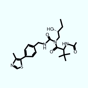 CC[C@@H](O)CN(C(=O)NCc1ccc(-c2scnc2C)cc1)C(=O)C(NC(C)=O)C(C)(C)C